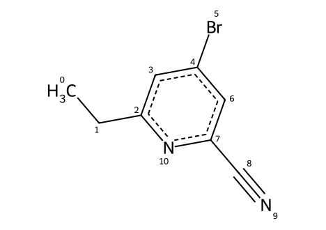 CCc1cc(Br)cc(C#N)n1